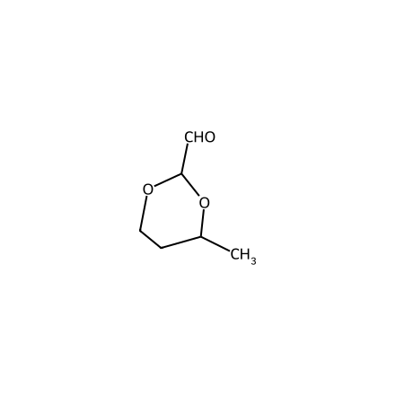 CC1CCOC(C=O)O1